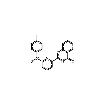 Cc1ccc([S+]([O-])c2cccc(-c3nc(=O)c4ccccc4s3)n2)cc1